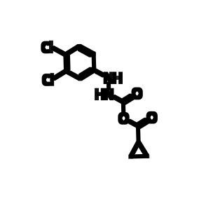 O=C(NNc1ccc(Cl)c(Cl)c1)OC(=O)C1CC1